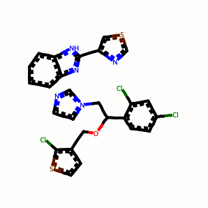 Clc1ccc(C(Cn2ccnc2)OCc2ccsc2Cl)c(Cl)c1.c1ccc2[nH]c(-c3cscn3)nc2c1